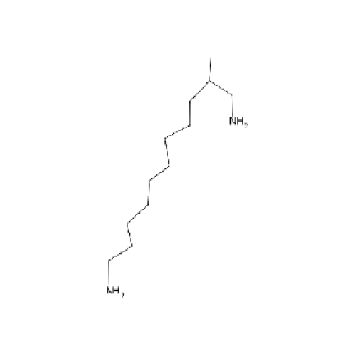 CC(CN)CCCCCCCCCN